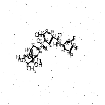 C[C@H](O)[C@@H](O)[C@@]1(O)[C@H]2C[C@@H](S(=O)(=O)c3cc(C(=O)Nc4cc(F)c(F)c(F)c4)ccc3Cl)C[C@@H]1[C@@H](C)C2